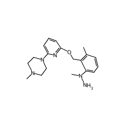 Cc1cccc(N(C)N)c1COc1cccc(N2CCN(C)CC2)n1